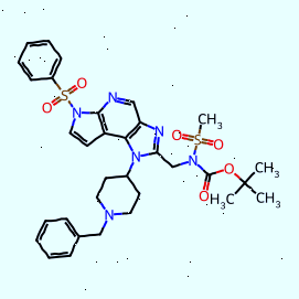 CC(C)(C)OC(=O)N(Cc1nc2cnc3c(ccn3S(=O)(=O)c3ccccc3)c2n1C1CCN(Cc2ccccc2)CC1)S(C)(=O)=O